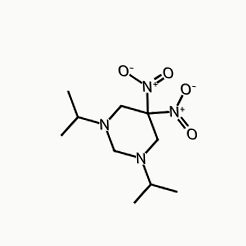 CC(C)N1CN(C(C)C)CC([N+](=O)[O-])([N+](=O)[O-])C1